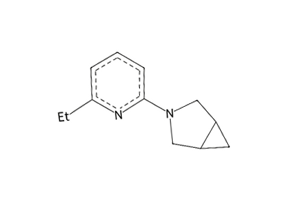 CCc1cccc(N2CC3CC3C2)n1